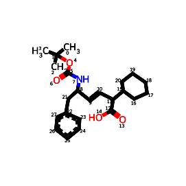 CC(C)(C)OC(=O)NC(/C=C/C(C(=O)O)C1CCCCC1)Cc1ccccc1